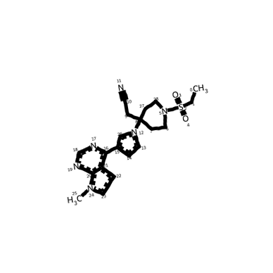 CCS(=O)(=O)N1CCC(CC#N)(n2ccc(-c3ncnc4c3ccn4C)c2)CC1